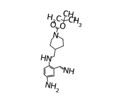 CC(C)(C)OC(=O)N1CCC(CNc2ccc(N)cc2C=N)CC1